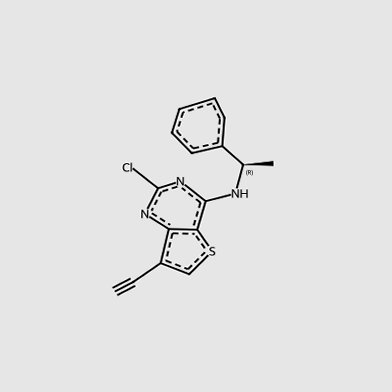 C#Cc1csc2c(N[C@H](C)c3ccccc3)nc(Cl)nc12